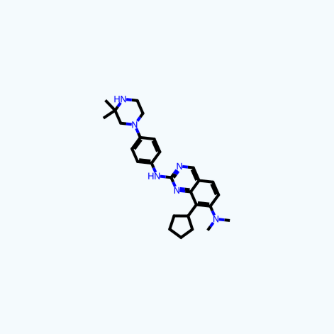 CN(C)c1ccc2cnc(Nc3ccc(N4CCNC(C)(C)C4)cc3)nc2c1C1CCCC1